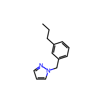 CCCc1cccc(Cn2cccn2)c1